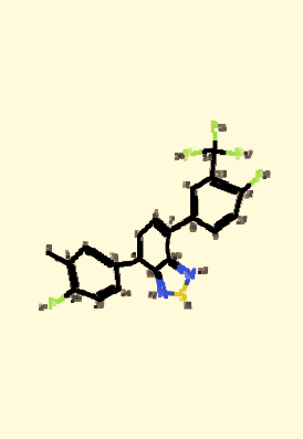 Cc1cc(-c2ccc(-c3ccc(F)c(C(F)(F)F)c3)c3nsnc23)ccc1F